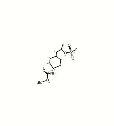 CC(C[C@H]1CC[C@H](NC(=O)OC(C)(C)C)CC1)OS(C)(=O)=O